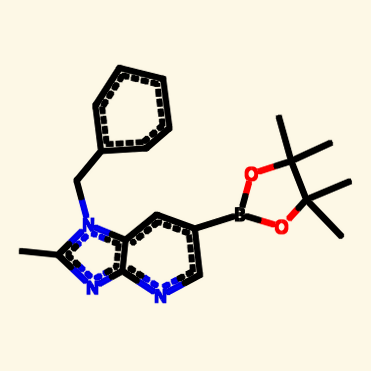 Cc1nc2ncc(B3OC(C)(C)C(C)(C)O3)cc2n1Cc1ccccc1